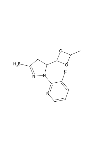 BC1=NN(c2ncccc2Cl)C(C2OC(C)O2)C1